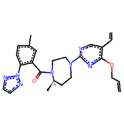 C=CCOc1nc(N2CC[C@@H](C)N(C(=O)c3cc(C)ccc3-n3nccn3)CC2)ncc1C=C